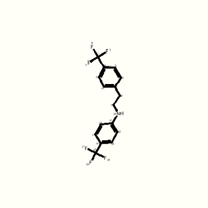 FC(F)(F)c1ccc(CCNc2ccc(C(F)(F)F)cc2)cc1